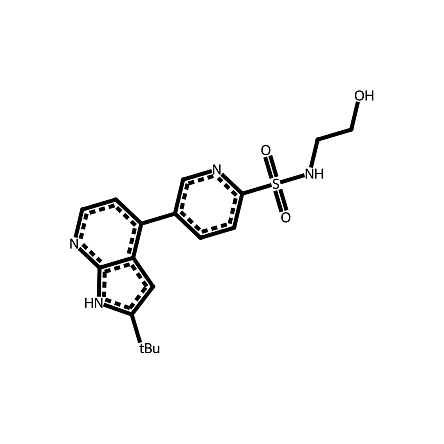 CC(C)(C)c1cc2c(-c3ccc(S(=O)(=O)NCCO)nc3)ccnc2[nH]1